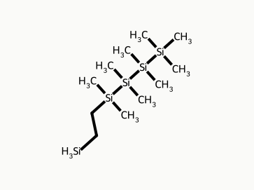 C[Si](C)(C)[Si](C)(C)[Si](C)(C)[Si](C)(C)CC[SiH3]